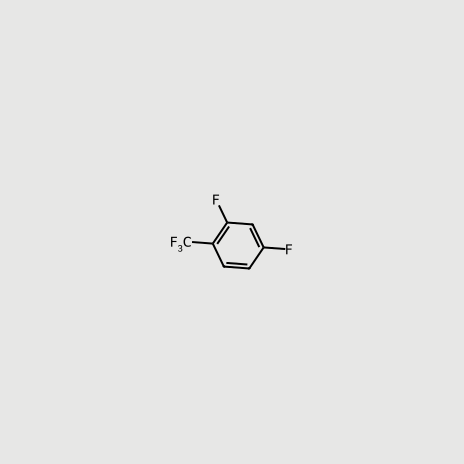 Fc1ccc(C(F)(F)F)c(F)c1